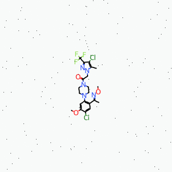 CON=C(C)c1cc(Cl)c(OC)cc1N1CCN(C(=O)Cn2nc(C(F)(F)F)c(Cl)c2C)CC1